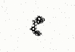 C/C(=C/Cc1cccc(C(C)(C)O[Si](C)(C)C)c1)[C@H]1CC[C@H]2C(=O)CCC[C@]12C